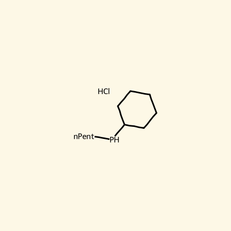 CCCCCPC1CCCCC1.Cl